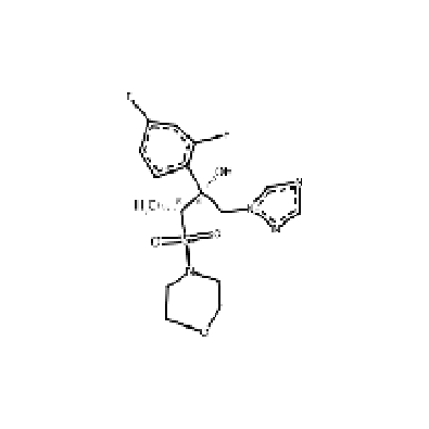 C[C@H]([C@](O)(Cn1cncn1)c1ccc(F)cc1F)S(=O)(=O)N1CCOCC1